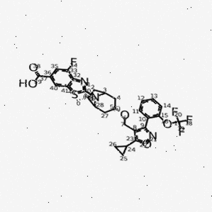 C[C@@H]1CC2C[C@H](OCc3c(-c4ccccc4OC(F)(F)F)noc3C3CC3)CC1N2c1nc2c(F)cc(C(=O)O)cc2s1